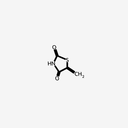 C=C1SC(=O)NC1=O